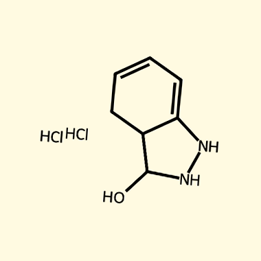 Cl.Cl.OC1NNC2=CC=CCC21